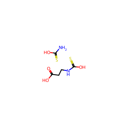 NC(O)=S.O=C(O)CCNC(O)=S